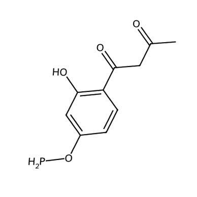 CC(=O)CC(=O)c1ccc(OP)cc1O